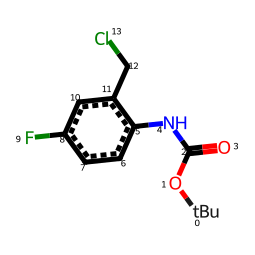 CC(C)(C)OC(=O)Nc1ccc(F)cc1CCl